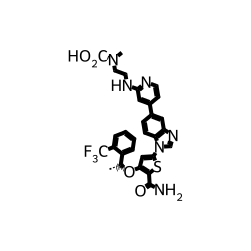 C[C@@H](Oc1cc(-n2cnc3cc(-c4ccnc(NCCN(C)C(=O)O)c4)ccc32)sc1C(N)=O)c1ccccc1C(F)(F)F